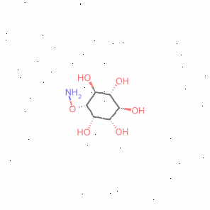 NO[C@@H]1[C@@H](O)[C@H](O)[C@@H](O)[C@H](O)[C@@H]1O